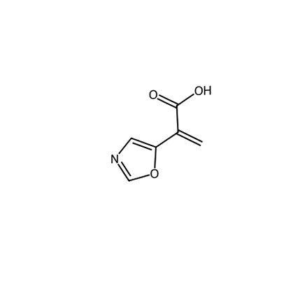 C=C(C(=O)O)c1cnco1